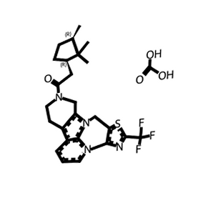 Cc1nc(C(F)(F)F)sc1Cn1c2c(c3cccnc31)CCN(C(=O)C[C@H]1CC[C@@H](C)C1(C)C)C2.O=C(O)O